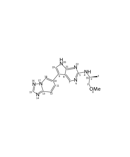 COC[C@H](C)Nc1ncc2c(-c3ccc4ncnn4c3)c[nH]c2n1